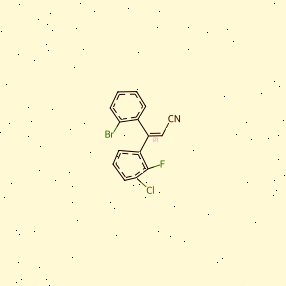 N#C/C=C(\c1ccccc1Br)c1cccc(Cl)c1F